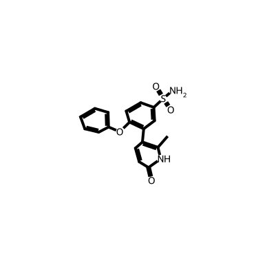 Cc1[nH]c(=O)ccc1-c1cc(S(N)(=O)=O)ccc1Oc1ccccc1